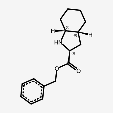 O=C(OCc1ccccc1)[C@@H]1C[C@H]2CCCC[C@H]2N1